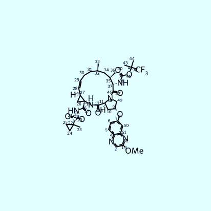 COc1cnc2ccc(O[C@@H]3C[C@H]4C(=O)N[C@]5(C(=O)NS(=O)(=O)C6(C)CC6)C[C@H]5/C=C\CC[C@@H](C)C[C@@H](C)[C@H](NC(=O)OC(C)(C)C(F)(F)F)C(=O)N4C3)cc2n1